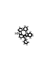 C1=CCC2C(=C1)NC1=C2c2c(n(-c3ccccc3)c3c4ccccc4n(C4C=CCCC4)c23)CC1